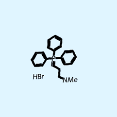 Br.CNCCC[PH](c1ccccc1)(c1ccccc1)c1ccccc1